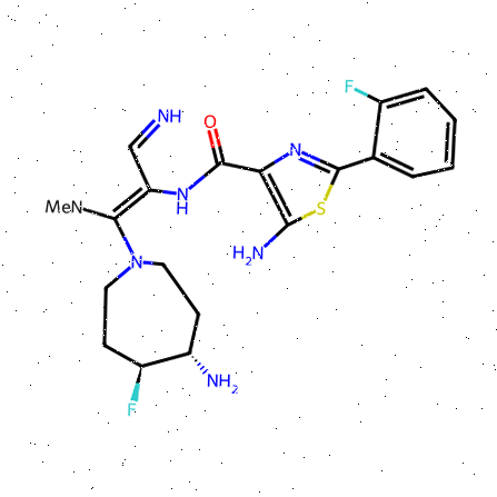 CN/C(=C(\C=N)NC(=O)c1nc(-c2ccccc2F)sc1N)N1CC[C@H](N)[C@@H](F)CC1